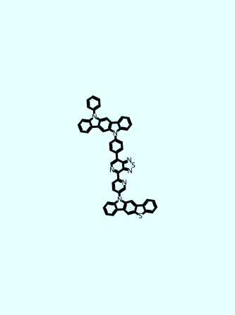 c1ccc(-n2c3ccccc3c3cc4c(cc32)c2ccccc2n4-c2ccc(-c3cnc(-c4ccc(-n5c6ccccc6c6cc7sc8ccccc8c7cc65)cn4)c4nsnc34)cc2)cc1